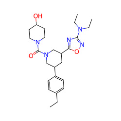 CCc1ccc(C2CC(c3nc(N(CC)CC)no3)CN(C(=O)N3CCC(O)CC3)C2)cc1